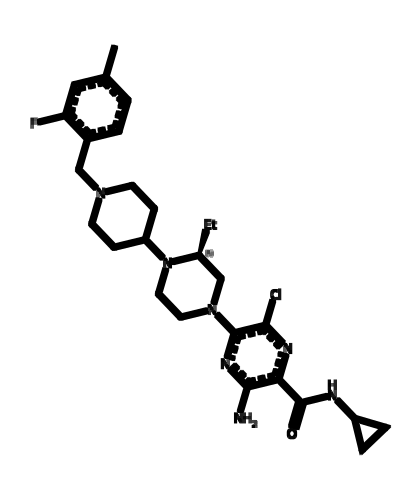 CC[C@H]1CN(c2nc(N)c(C(=O)NC3CC3)nc2Cl)CCN1C1CCN(Cc2ccc(C)cc2F)CC1